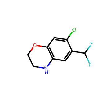 FC(F)c1cc2c(cc1Cl)OCCN2